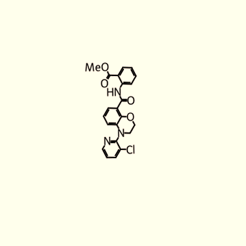 COC(=O)c1ccccc1NC(=O)c1cccc2c1OCCN2c1ncccc1Cl